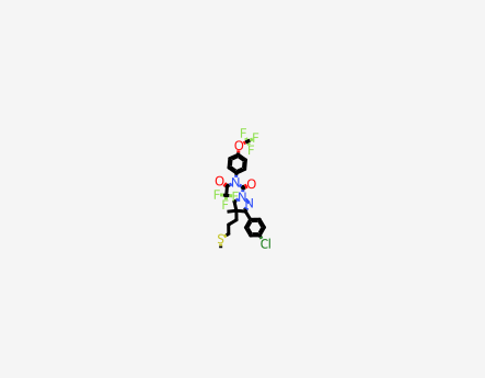 CSCCCC1(C)CN(C(=O)N(C(=O)C(F)(F)F)c2ccc(OC(F)(F)F)cc2)N=C1c1ccc(Cl)cc1